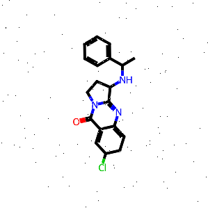 CC(NC1CCn2c1nc1c(c2=O)=CC(Cl)CC=1)c1ccccc1